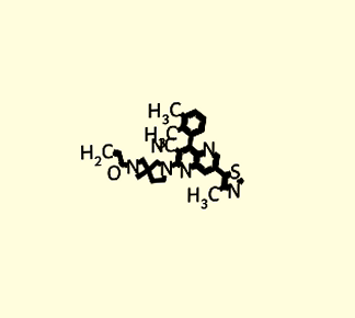 C=CC(=O)N1CC2(CCN(c3nc4cc(-c5scnc5C)cnc4c(-c4cccc(C)c4C)c3C#N)C2)C1